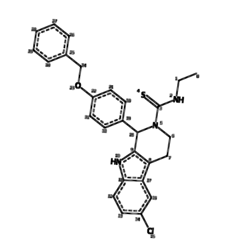 CCNC(=S)N1CCc2c([nH]c3ccc(Cl)cc23)C1c1ccc(OCc2ccccc2)cc1